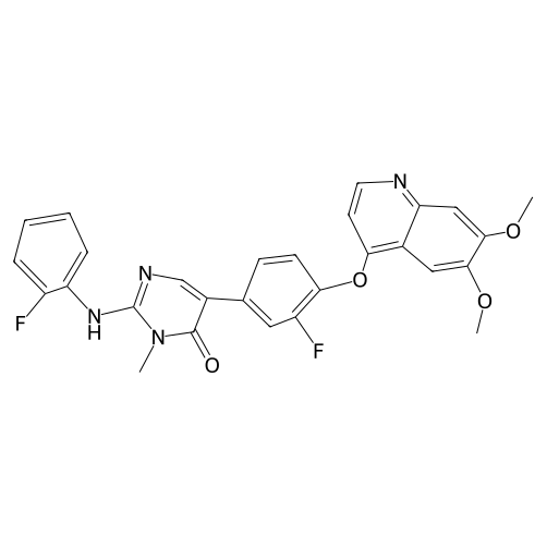 COc1cc2nccc(Oc3ccc(-c4cnc(Nc5ccccc5F)n(C)c4=O)cc3F)c2cc1OC